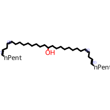 CCCCC/C=C\C/C=C\CCCCCCCCC(O)CCCCCCCC/C=C\C/C=C/CCCCC